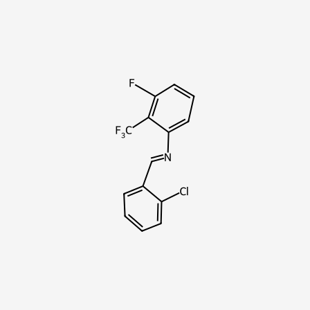 Fc1cccc(N=Cc2ccccc2Cl)c1C(F)(F)F